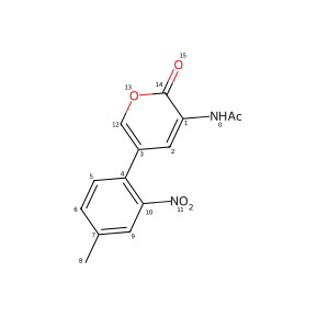 CC(=O)Nc1cc(-c2ccc(C)cc2[N+](=O)[O-])coc1=O